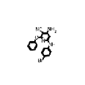 N#Cc1c(N)cc(Nc2ccc(Br)cc2)nc1Oc1ccccc1